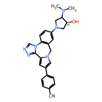 CN(C)C1CN(c2ccc3c(c2)Cn2cc(-c4ccc(C#N)cc4)cc2-c2nncn2-3)C[C@@H]1O